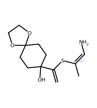 C=C(S/C(C)=C\N)C1(O)CCC2(CC1)OCCO2